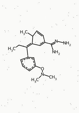 CC/C(=C1C=C(/C(N)=N/N)C=CC/1C)c1cccc(ON(C)C)c1